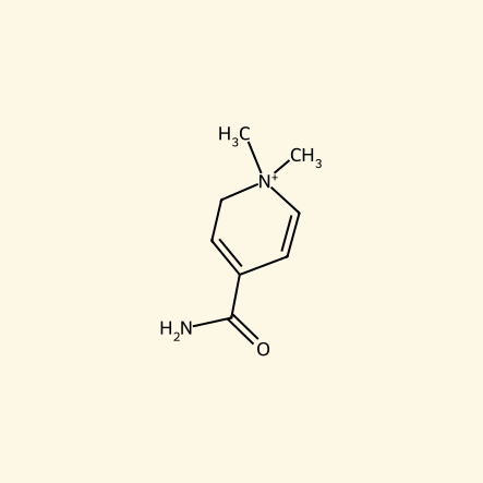 C[N+]1(C)C=CC(C(N)=O)=CC1